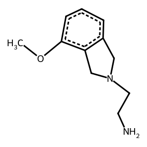 COc1cccc2c1CN(CCN)C2